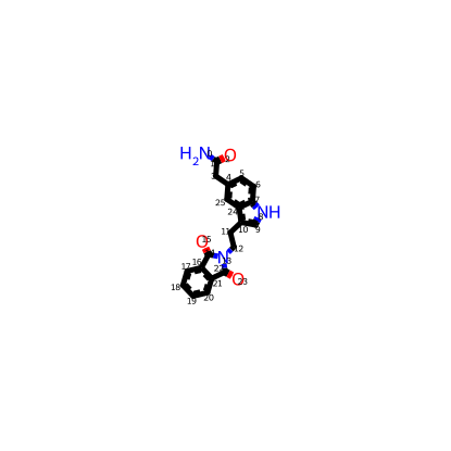 NC(=O)Cc1ccc2[nH]cc(CCN3C(=O)c4ccccc4C3=O)c2c1